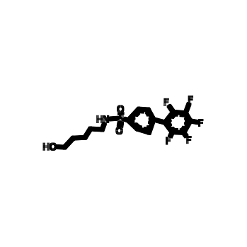 O=S(=O)(NCCCCCO)c1ccc(-c2c(F)c(F)c(F)c(F)c2F)cc1